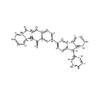 S=c1c2cc(-c3ccc4c(c3)c3ccccc3n4-c3ccccc3)ccc2nc2sc3ccccc3n12